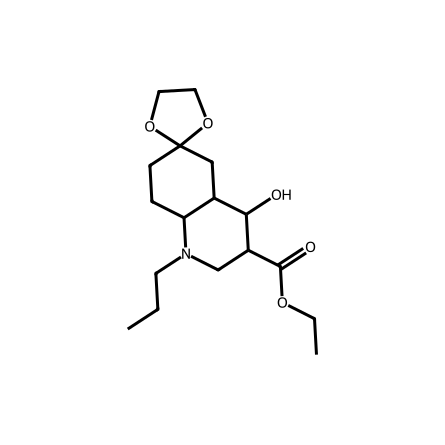 CCCN1CC(C(=O)OCC)C(O)C2CC3(CCC21)OCCO3